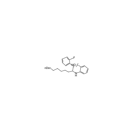 CCCCCCCCCCCCCCCC(Nc1ccccc1C(=O)O)Sc1ccccc1F